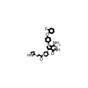 Nc1n[nH]c(=O)c2c([C@@H]3CCN(C(=O)/C=C/[C@H]4CCN4)C3)cn(-c3ccc(Oc4ccccc4F)cc3)c12